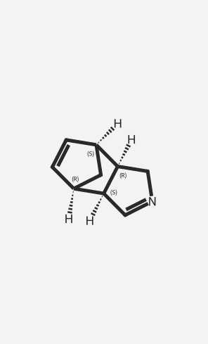 C1=C[C@H]2C[C@@H]1[C@H]1CN=C[C@H]12